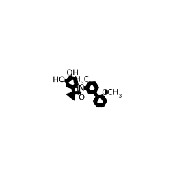 COc1ccccc1-c1ccc(C)c(NC(=O)C2(c3ccc(O)c(O)c3)CC2)c1